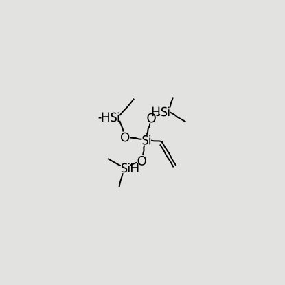 C=C[Si](O[SiH](C)C)(O[SiH](C)C)O[SiH](C)C